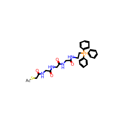 CC(=O)SCC(=O)NCC(=O)NCC(=O)NCC(=O)NCC[PH](c1ccccc1)(c1ccccc1)c1ccccc1